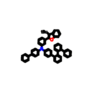 CC(C)(C)c1c(-c2cccc(N(c3ccc(-c4ccccc4)cc3)c3ccc(-c4ccccc4-c4ccccc4-c4ccccc4)cc3)c2)oc2ccccc12